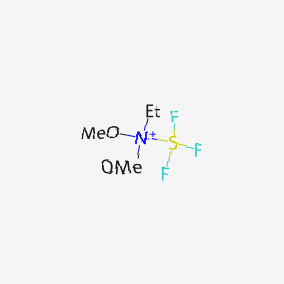 CC[N+](OC)(OC)S(F)(F)F